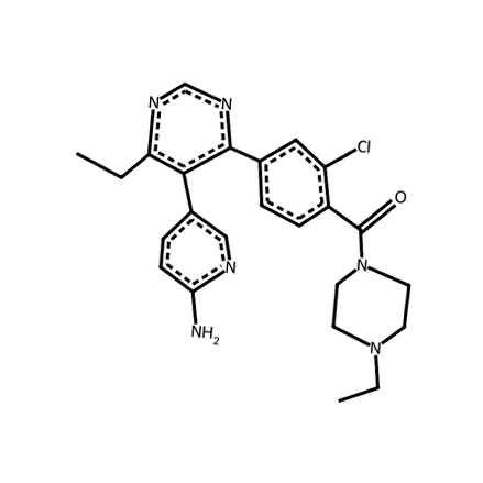 CCc1ncnc(-c2ccc(C(=O)N3CCN(CC)CC3)c(Cl)c2)c1-c1ccc(N)nc1